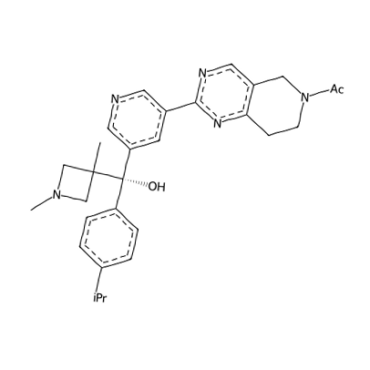 CC(=O)N1CCc2nc(-c3cncc([C@@](O)(c4ccc(C(C)C)cc4)C4(C)CN(C)C4)c3)ncc2C1